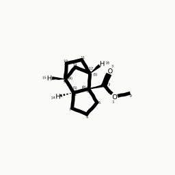 COC(=O)[C@@]12CCC[C@H]1[C@@H]1CC[C@H]2C1